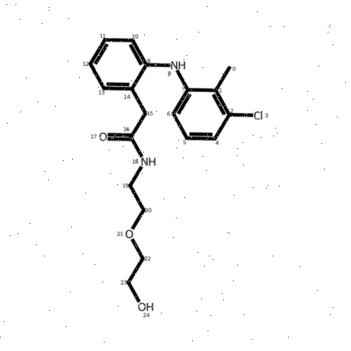 Cc1c(Cl)cccc1Nc1ccccc1CC(=O)NCCOCCO